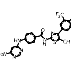 CNc1cc(Nc2ccc(C(=O)Nc3nc(-c4ccc(F)c(C(F)(F)F)c4)c(C)s3)cc2)ncn1